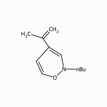 C=C(C)C1=CN(CCCC)OC=C1